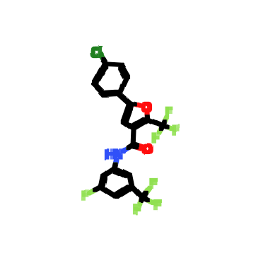 O=C(Nc1cc(F)cc(C(F)(F)F)c1)c1cc(-c2ccc(Cl)cc2)oc1C(F)(F)F